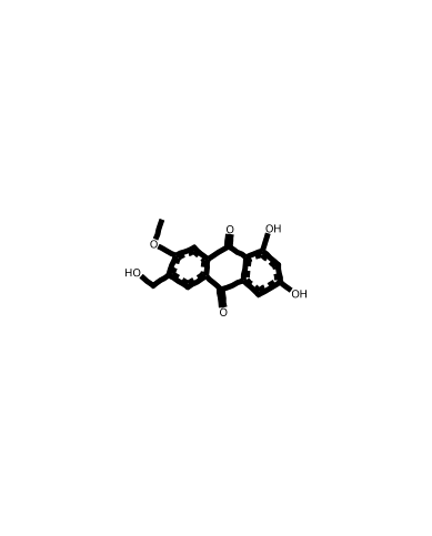 COc1cc2c(cc1CO)C(=O)c1cc(O)cc(O)c1C2=O